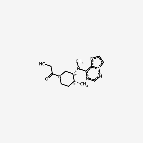 C[C@@H]1CCN(C(=O)CC#N)C[C@@H]1N(C)c1ncnn2ccnc12